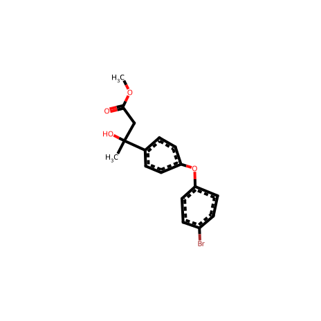 COC(=O)CC(C)(O)c1ccc(Oc2ccc(Br)cc2)cc1